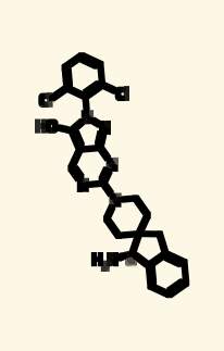 N[C@@H]1c2ccccc2CC12CCN(c1ncc3c(O)n(-c4c(Cl)cccc4Cl)nc3n1)CC2